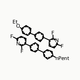 CCCCCc1ccc(-c2ccc(-c3ccc(F)nc3F)cc2)cc1.CCOc1ccc(-c2ccc(-c3ccc(F)nc3F)cc2)cc1